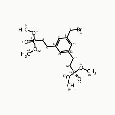 COP(=O)(CCc1cc(CBr)cc(CCP(=O)(OC)OC)c1)OC